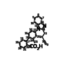 C#CCCc1nc2ccccc2n1-c1ccc(-c2ccccc2C(=O)O)c(C)c1